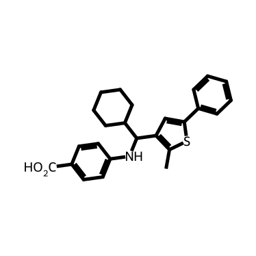 Cc1sc(-c2ccccc2)cc1C(Nc1ccc(C(=O)O)cc1)C1CCCCC1